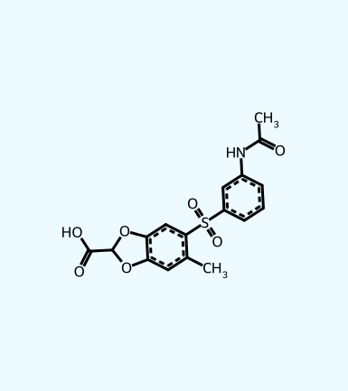 CC(=O)Nc1cccc(S(=O)(=O)c2cc3c(cc2C)OC(C(=O)O)O3)c1